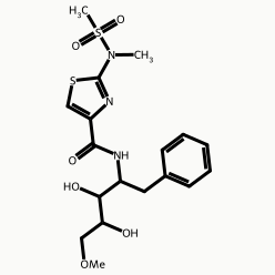 COCC(O)C(O)C(Cc1ccccc1)NC(=O)c1csc(N(C)S(C)(=O)=O)n1